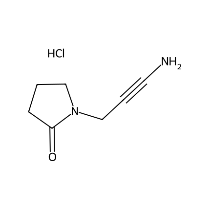 Cl.NC#CCN1CCCC1=O